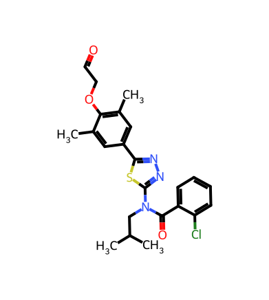 Cc1cc(-c2nnc(N(CC(C)C)C(=O)c3ccccc3Cl)s2)cc(C)c1OCC=O